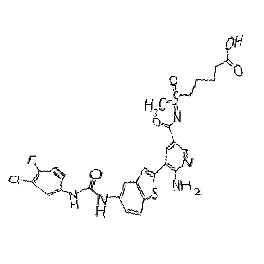 CS(=O)(CCCCC(=O)O)=NC(=O)c1cnc(N)c(-c2cc3cc(NC(=O)Nc4ccc(F)c(Cl)c4)ccc3s2)c1